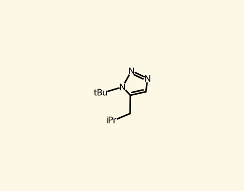 CC(C)Cc1cnnn1C(C)(C)C